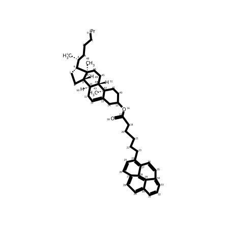 CC(C)CCC[C@@H](C)[C@H]1CC[C@H]2[C@@H]3CC=C4CC(OC(=O)CCCCCc5ccc6ccc7cccc8ccc5c6c78)CC[C@]4(C)[C@H]3CC[C@]12C